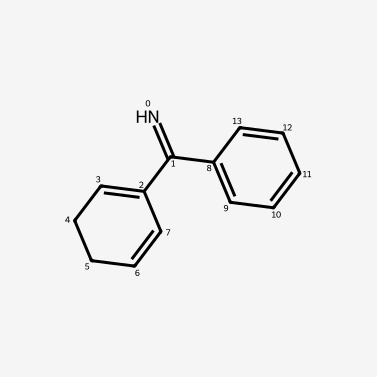 N=C(C1=CCCC=C1)c1ccccc1